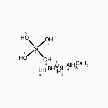 B.O[Si](O)(O)O.[AlH3].[CaH2].[LiH].[MgH2]